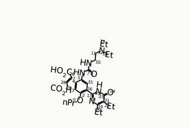 CCCOc1ccc(NC(=O)NCCN(CC)CC)cc1-c1nc(CC)c(CC)c(=O)[nH]1.O=C(O)C=CC(=O)O